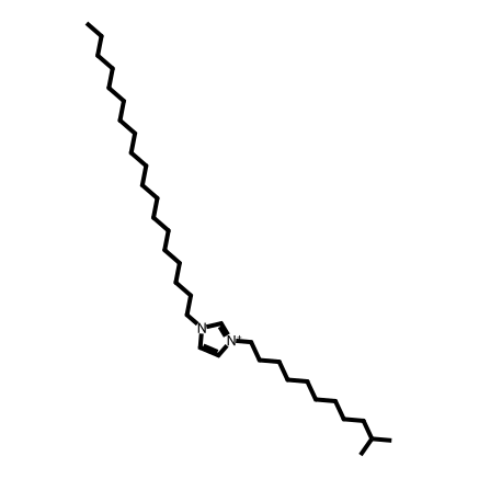 CCCCCCCCCCCCCCCCCCCn1cc[n+](CCCCCCCCCC(C)C)c1